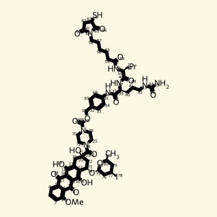 COc1cccc2c1C(=O)c1c(O)c3c(c(O)c1C2=O)C[C@@](O)(C(=O)N1CCN(C(=O)OCc2ccc(NC(=O)[C@H](CCCNC(N)=O)NC(=O)[C@@H](NC(=O)CCCCCN4C(=O)CC(S)C4=O)C(C)C)cc2)CC1)C[C@@H]3O[C@H]1C[C@H](I)C[C@H](C)O1